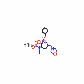 CC(C)(C)OC(=O)N[C@@H]1CC=C(CN2CCOCC2)CN(OCc2ccccc2)C1=O